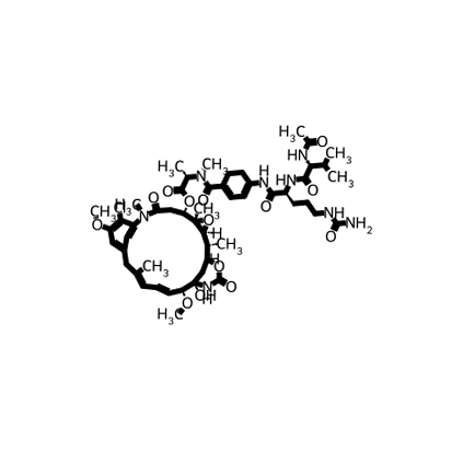 COc1cc2cc(c1Cl)N(C)C(=O)C[C@H](OC(=O)[C@H](C)N(C)C(=O)C1=CC=C(NC(=O)[C@H](CCCNC(N)=O)NC(=O)[C@@H](NC(C)=O)C(C)C)CC1)[C@]1(C)O[C@H]1[C@H](C)[C@@H]1C[C@@](O)(NC(=O)O1)[C@H](OC)/C=C/C=C(\C)C2